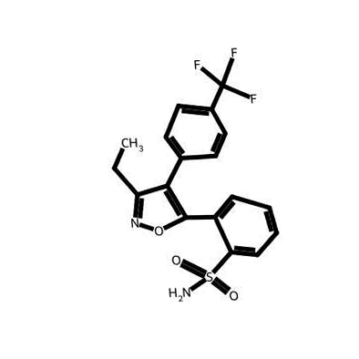 CCc1noc(-c2ccccc2S(N)(=O)=O)c1-c1ccc(C(F)(F)F)cc1